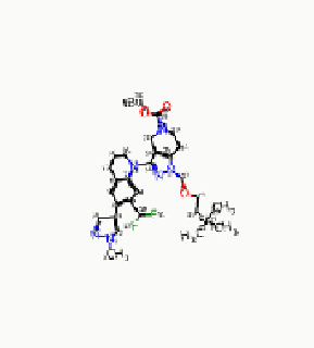 Cn1cc(-c2cc3c(cc2C(F)F)N(c2nn(COCC[Si](C)(C)C)c4c2CN(C(=O)OC(C)(C)C)CC4)CCC3)cn1